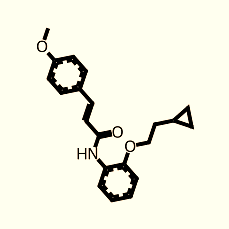 COc1ccc(/C=C/C(=O)Nc2ccccc2OCCC2CC2)cc1